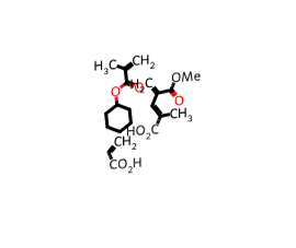 C=C(C)C(=O)OC1CCCCC1.C=C(C=C(C)C(=O)O)C(=O)OC.C=CC(=O)O